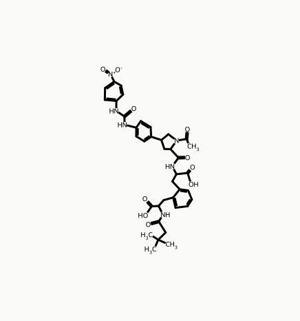 CC(=O)N1CC(c2ccc(NC(=O)Nc3ccc([N+](=O)[O-])cc3)cc2)CC1C(=O)NC(Cc1ccccc1CC(NC(=O)CC(C)(C)C)C(=O)O)C(=O)O